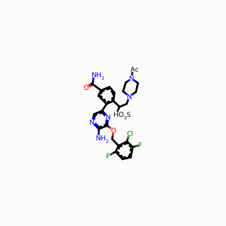 CC(=O)N1CCN(CC(c2ccc(C(N)=O)cc2-c2cnc(N)c(OCc3c(F)ccc(F)c3Cl)n2)S(=O)(=O)O)CC1